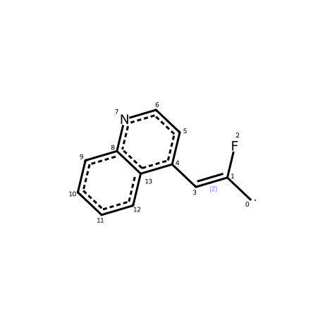 [CH2]/C(F)=C/c1ccnc2ccccc12